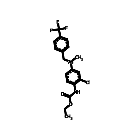 CCOC(=O)Nc1ccc([As](C)Cc2ccc(C(F)(F)F)cc2)cc1Cl